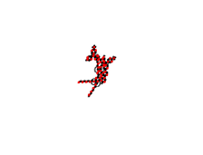 CCCCCCCCOc1cc2c(cc1OCCCCCCCC)C1(c3cc(C)ccc3-c3ccc(-c4ccc(N(c5ccc(-c6ccc(N(c7ccc(C)cc7)c7ccc(C(C)(C)C)cc7)cc6)cc5)c5ccc(C(C)(C)C)cc5)cc4)cc31)c1cc(OCCCCCCCC)c(OCCCCCCCC)cc1-2